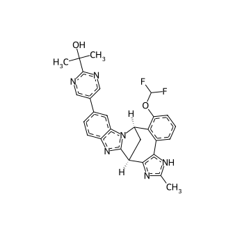 Cc1nc2c([nH]1)-c1cccc(OC(F)F)c1[C@H]1C[C@@H]2c2nc3ccc(-c4cnc(C(C)(C)O)nc4)cc3n21